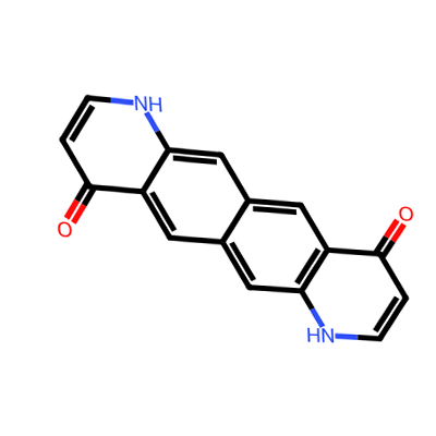 O=c1cc[nH]c2cc3cc4c(=O)cc[nH]c4cc3cc12